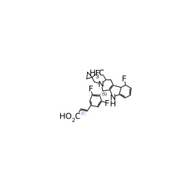 CC1CC2=C(NC3=CC=CC(F)C32)[C@H](c2c(F)cc(/C=C/C(=O)O)cc2F)N1CC1(F)CC1